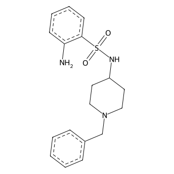 Nc1ccccc1S(=O)(=O)NC1CCN(Cc2ccccc2)CC1